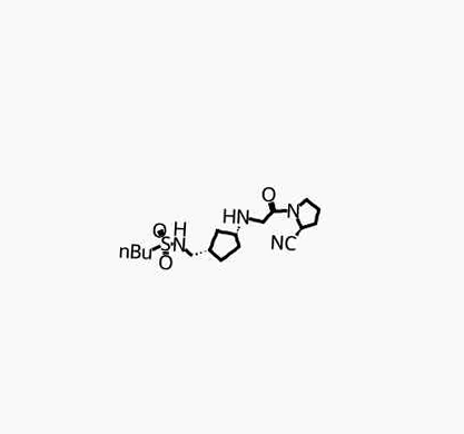 CCCCS(=O)(=O)NC[C@H]1CC[C@@H](NCC(=O)N2CCC[C@H]2C#N)C1